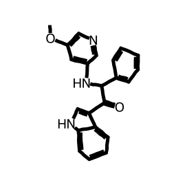 COc1cncc(NC(C(=O)c2c[nH]c3ccccc23)c2ccccc2)c1